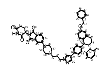 CC1C=CC=C[C@@H]1C1CCc2cc(OCc3ccccc3)ccc2C1c1ccc(-c2cnn(CCCN3CCN(c4ccc5c(c4)C(=O)N(C4CCC(=O)NC4=O)C5=O)CC3)c2)cc1